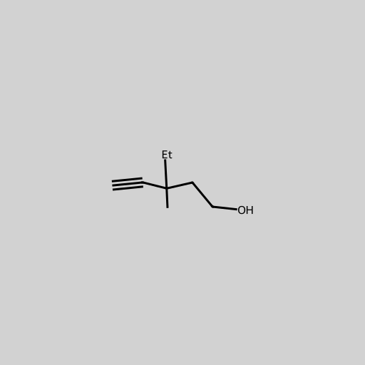 C#CC(C)(CC)CCO